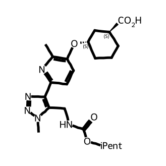 CCCC(C)OC(=O)NCc1c(-c2ccc(O[C@H]3CCC[C@H](C(=O)O)C3)c(C)n2)nnn1C